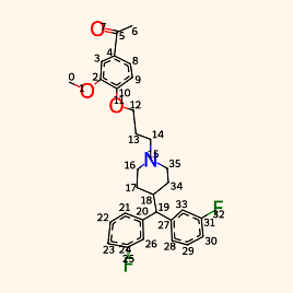 COc1cc(C(C)=O)ccc1OCCCN1CCC(C(c2cccc(F)c2)c2cccc(F)c2)CC1